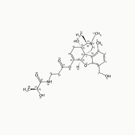 Cc1ccc(CO)c2c1[C@]13CCN(C)[C@H](C)[C@]1(O)CC=C(OC(=O)CCNC(=O)[C@H](C)O)[C@@H]3O2